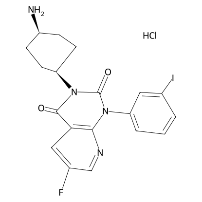 Cl.N[C@H]1CC[C@@H](n2c(=O)c3cc(F)cnc3n(-c3cccc(I)c3)c2=O)CC1